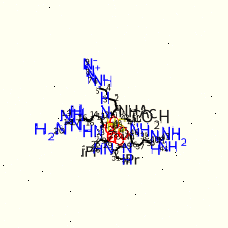 CC(=O)N[C@@H](CCCCNN=[N+]=[N-])C(=O)N[C@H](CCCNC(=N)N)C(=O)N[C@H](CC(C)C)C(=O)N[C@H](CC(C)C)C(=O)N[C@H](CCCNC(=N)N)C(=O)N[C@H](CS)C(=O)O